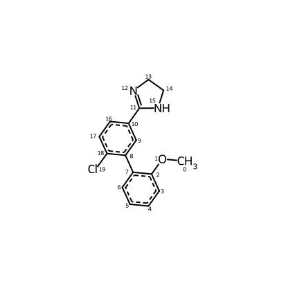 COc1ccccc1-c1cc(C2=NCCN2)ccc1Cl